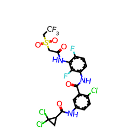 O=C(CS(=O)(=O)CC(F)(F)F)Nc1c(F)ccc(NC(=O)c2cc(NC(=O)C3CC3(Cl)Cl)ccc2Cl)c1F